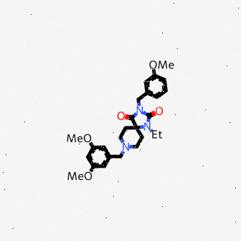 CCN1C(=O)N(Cc2cccc(OC)c2)C(=O)C12CCN(Cc1cc(OC)cc(OC)c1)CC2